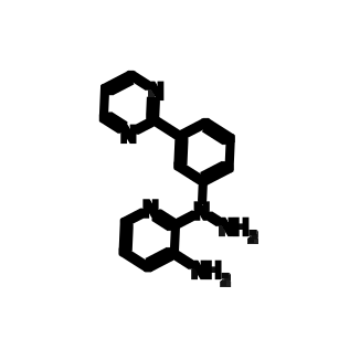 Nc1cccnc1N(N)c1cccc(-c2ncccn2)c1